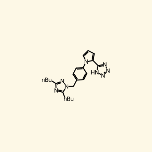 CCCCc1nc(CCCC)n(Cc2ccc(-n3cccc3-c3nnn[nH]3)cc2)n1